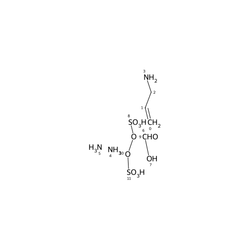 C=CCN.N.N.O=CO.O=S(=O)(O)OOS(=O)(=O)O